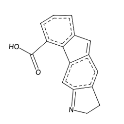 O=C(O)c1cccc2c1-c1cc3c(cc1=C2)CCN=3